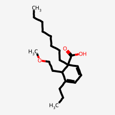 CCCCCCCCC1(C(=O)O)C=CC=C(CCC)C1CCOC